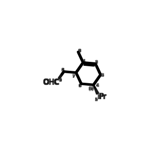 CC1=CC[C@@H](C(C)C)CC1CC=O